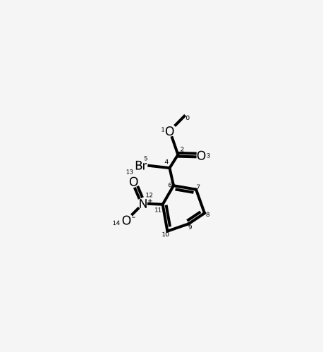 COC(=O)C(Br)c1ccccc1[N+](=O)[O-]